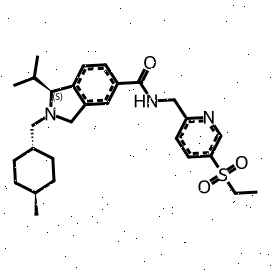 CCS(=O)(=O)c1ccc(CNC(=O)c2ccc3c(c2)CN(C[C@H]2CC[C@H](C)CC2)[C@H]3C(C)C)nc1